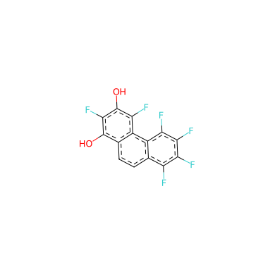 Oc1c(F)c(O)c2ccc3c(F)c(F)c(F)c(F)c3c2c1F